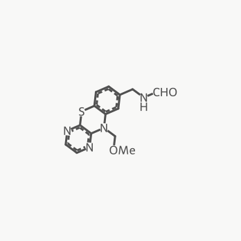 COCN1c2cc(CNC=O)ccc2Sc2nccnc21